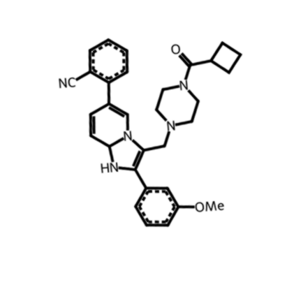 COc1cccc(C2=C(CN3CCN(C(=O)C4CCC4)CC3)N3C=C(c4ccccc4C#N)C=CC3N2)c1